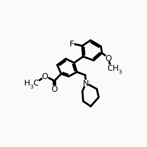 COC(=O)c1ccc(-c2cc(OC)ccc2F)c(CN2CCCCC2)c1